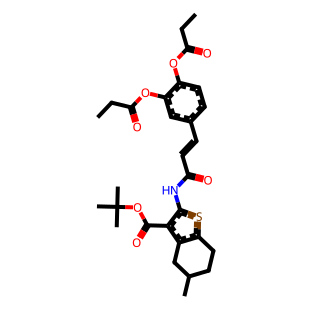 CCC(=O)Oc1ccc(C=CC(=O)Nc2sc3c(c2C(=O)OC(C)(C)C)CC(C)CC3)cc1OC(=O)CC